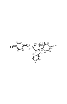 CN1OC(COc2ccc(Cl)cc2)CC1(Cn1ccnc1)c1ccc(F)cc1